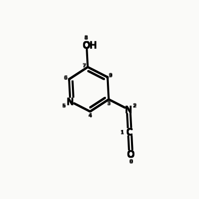 O=C=Nc1cncc(O)c1